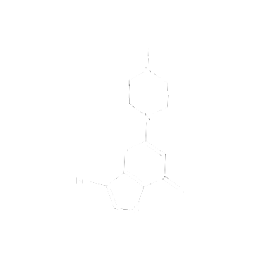 CN1CCN(c2cc(=S)c3scc(Br)c3o2)CC1